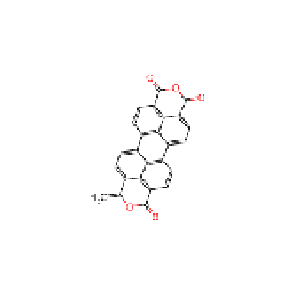 C=c1oc(=O)c2ccc3c4ccc5c6c(ccc(c7ccc1c2c73)c64)C(=O)OC5=O